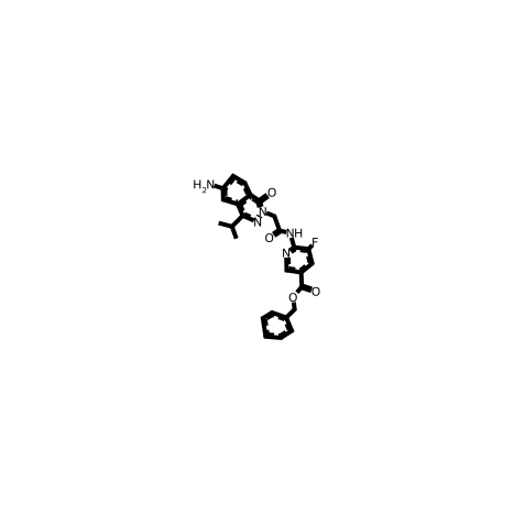 CC(C)c1nn(CC(=O)Nc2ncc(C(=O)OCc3ccccc3)cc2F)c(=O)c2ccc(N)cc12